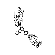 COC(=O)N[C@H](C(=O)N1CCC[C@H]1c1ncc(-c2ccc(-c3ccc(-c4ccc5nc([C@@H]6CCCN6C(=O)[C@@H](NC(=O)OC)C(C)C)[nH]c5n4)c4c3CC3(CCCC3)C4)cc2)[nH]1)C(C)C